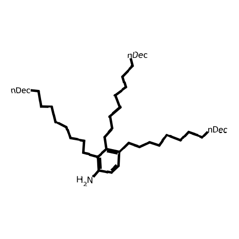 CCCCCCCCCCCCCCCCCCc1ccc(N)c(CCCCCCCCCCCCCCCCCC)c1CCCCCCCCCCCCCCCCCC